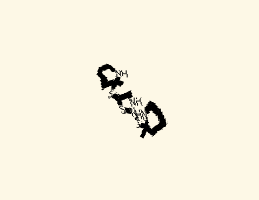 CC1(SC2=CNN(SC3(C)C=CC=CN3)S2)C=CC=CN1